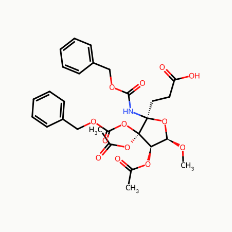 CO[C@@H]1O[C@](CCC(=O)O)(NC(=O)OCc2ccccc2)[C@](OC(C)=O)(OC(=O)OCc2ccccc2)[C@@H]1OC(C)=O